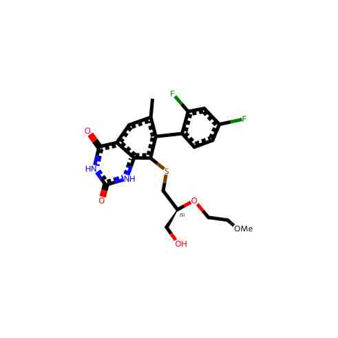 COCCO[C@@H](CO)CSc1c(-c2ccc(F)cc2F)c(C)cc2c(=O)[nH]c(=O)[nH]c12